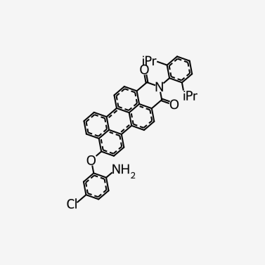 CC(C)c1cccc(C(C)C)c1N1C(=O)c2ccc3c4cccc5c(Oc6cc(Cl)ccc6N)ccc(c6ccc(c2c36)C1=O)c54